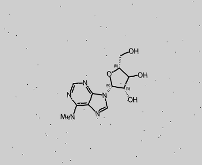 CNc1ncnc2c1ncn2[C@@H]1O[C@H](CO)C(O)[C@@H]1O